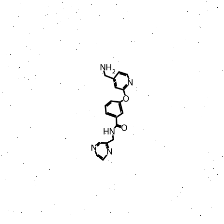 NCc1ccnc(Oc2cccc(C(=O)NCc3cnccn3)c2)c1